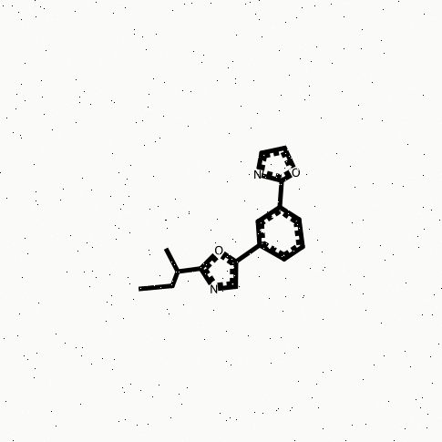 CCC(C)c1n[c]c(-c2cccc(-c3ncco3)c2)o1